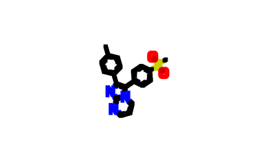 Cc1ccc(-c2nc3ncccn3c2-c2ccc(S(C)(=O)=O)cc2)cc1